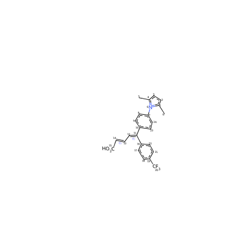 Cc1ccc(C)n1-c1ccc(/C(=C/C=C/C(=O)O)c2ccc(C(F)(F)F)cc2)cc1